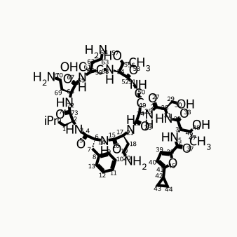 CC(C)C[C@@H]1NC(=O)[C@@H](Cc2ccccc2)NC(=O)[C@H](CCN)NC(=O)[C@@H](NC(=O)[C@@H](CO)NC(=O)[C@@H](NC(=O)c2ccc(C3CC3)o2)[C@@H](C)O)CCNC(=O)[C@H]([C@@H](C)O)NC[C@](C=O)(CCN)NC(=O)[C@H](CCN)NC1=O